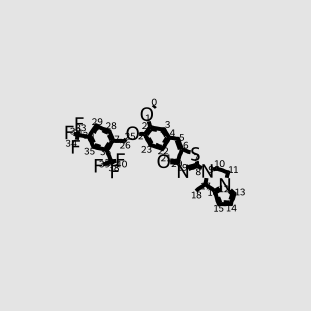 COc1cc(/C=C2/SC(N3CCn4cccc4C3C)=NC2=O)ccc1OCc1ccc(C(F)(F)F)cc1C(F)(F)F